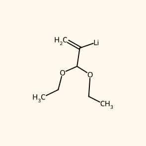 [Li][C](=C)C(OCC)OCC